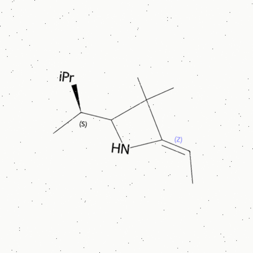 C/C=C1\NC([C@@H](C)C(C)C)C1(C)C